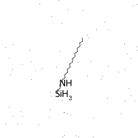 CCCCCCCCCCCCCCCCCNCCC[SiH3]